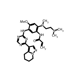 C=CC(=O)Nc1cc(Nc2ncnc(-c3cnn4c3CCCC4)n2)c(OC)cc1N(C)CCN(C)C